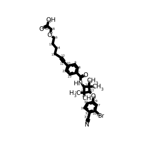 CC1(C)C(NC(=O)c2ccc(C#CCCCCOCC(=O)O)cc2)C(C)(C)C1Oc1ccc(C#N)c(Br)c1